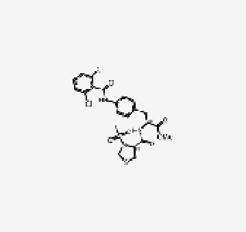 COC(=O)[C@H](Cc1ccc(NC(=O)c2c(Cl)cccc2Cl)cc1)NC(=O)[C@H]1CSCN1S(C)(=O)=O